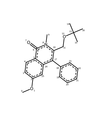 COc1ccc2c(=O)n(C)c(COC(C)(C)C)c(-c3ccccc3)c2c1